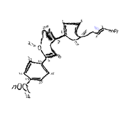 CCC/C=C/c1ccc(-c2cc(-c3ccc(CCCCCCCC)cc3)on2)s1